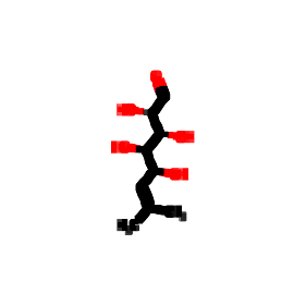 CC(C)=C[C@H](O)[C@@H](O)[C@@H](O)[C@H](O)C=O